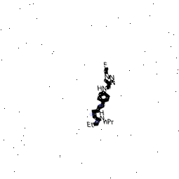 CC/C=C(\C=C/C/C=C/C1=CC=C(NCC2CN(CCF)N=N2)CC1)NCCC